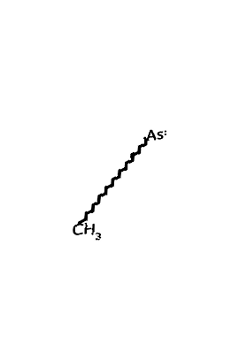 CCCCCCCCCCCCCCCCCCCCCC[As]